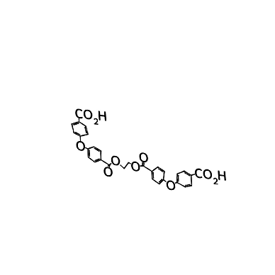 O=C(O)c1ccc(Oc2ccc(C(=O)OCCOC(=O)c3ccc(Oc4ccc(C(=O)O)cc4)cc3)cc2)cc1